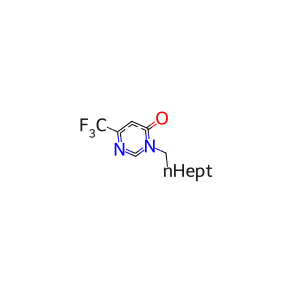 CCCCCCCCn1cnc(C(F)(F)F)cc1=O